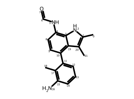 Cc1[nH]c2c(NC=O)ccc(-c3cccc(N)c3C)c2c1C